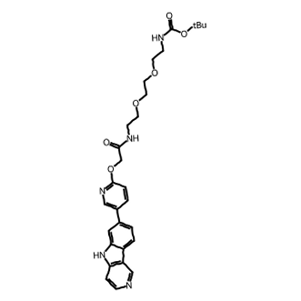 CC(C)(C)OC(=O)NCCOCCOCCNC(=O)COc1ccc(-c2ccc3c(c2)[nH]c2ccncc23)cn1